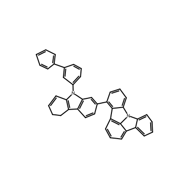 C1=Cc2c(c3ccc(-c4cccc5c4c4cccc6c7ccccc7n5c64)cc3n2-c2cccc(-c3ccccc3)c2)CC1